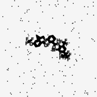 O=C(Nc1c(Br)cc(C(F)(C(F)(F)F)C(F)(F)F)cc1C(F)(F)F)c1cccc(N(CC2CC2)C(=O)c2ccc(OC(F)(F)F)cc2)c1F